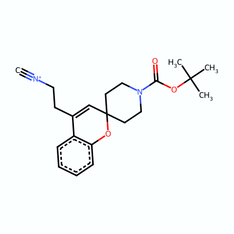 [C-]#[N+]CCC1=CC2(CCN(C(=O)OC(C)(C)C)CC2)Oc2ccccc21